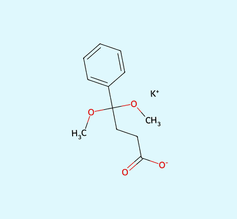 COC(CCC(=O)[O-])(OC)c1ccccc1.[K+]